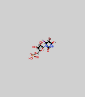 O=c1[nH]c(=O)n([C@@H]2O[C@H](COP(=O)(O)O)[C@@H](O)[C@H]2O)c(I)c1Br